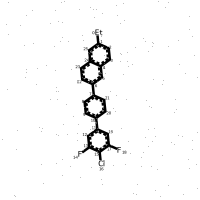 CCc1ccc2cc(-c3ccc(-c4cc(F)c(Cl)c(F)c4)cc3)ccc2c1